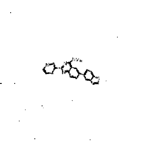 CNc1nc(C2C=NC=CC2)nc2ccc(-c3ccc4sccc4c3)cc12